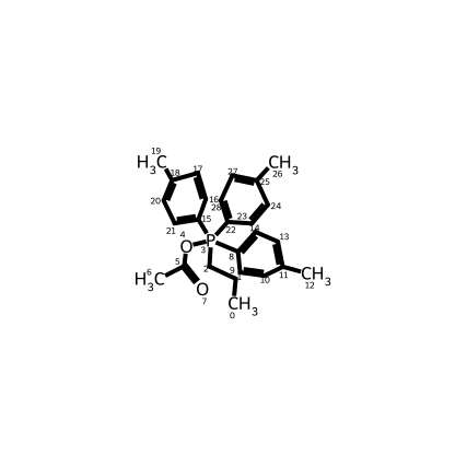 CCCP(OC(C)=O)(c1ccc(C)cc1)(c1ccc(C)cc1)c1ccc(C)cc1